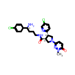 Cn1nc(N2C[C@@H](C(=O)NCCC[C@H](N)C3C=CC(Cl)=CC3)[C@H](c3ccc(Cl)cn3)C2)ccc1=O